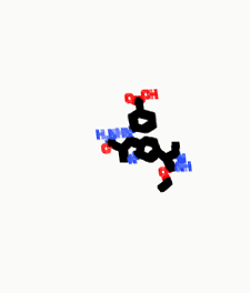 CCOc1[nH]nc(C)c1-c1ccc2c(Nc3cccc(C(=O)O)c3)c(C(N)=O)cnc2c1